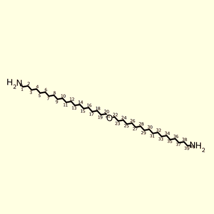 NCCCCCCCCCCCCCCCCCCCCOCCCCCCCCCCCCCCCCCCN